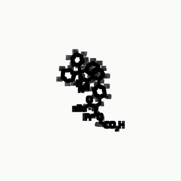 CCCCC(=O)N(Cc1ccc(-c2ccccc2-c2nnnn2C(c2ccccc2)(c2ccccc2)c2ccccc2)cc1)[C@@H](OCC(=O)O)C(C)C